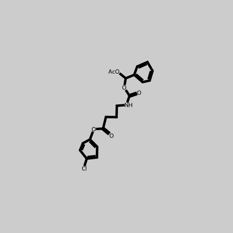 CC(=O)OC(OC(=O)NCCCC(=O)Oc1ccc(Cl)cc1)c1ccccc1